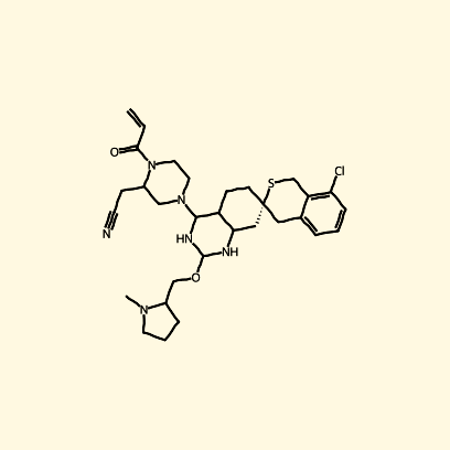 C=CC(=O)N1CCN(C2NC(OCC3CCCN3C)NC3C[C@@]4(CCC32)Cc2cccc(Cl)c2CS4)CC1CC#N